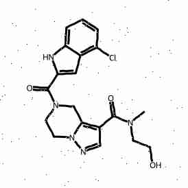 CN(CCO)C(=O)c1cnn2c1CN(C(=O)c1cc3c(Cl)cccc3[nH]1)CC2